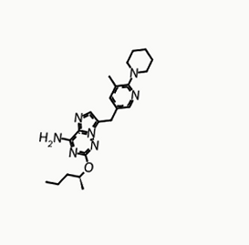 CCC[C@H](C)Oc1nc(N)c2ncc(Cc3cnc(N4CCCCC4)c(C)c3)n2n1